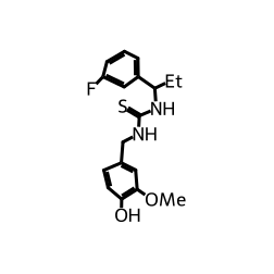 CCC(NC(=S)NCc1ccc(O)c(OC)c1)c1cccc(F)c1